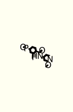 COc1cc(NC(=O)c2ccc(P(C)(C)=O)cc2F)ccn1